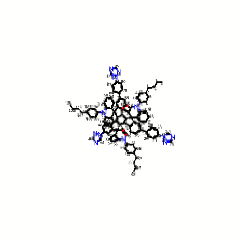 CCCCc1ccc(N2c3ccccc3C3(c4cc(-c5ccc(-n6cncn6)cc5)ccc4-c4c3c3c(c5c4C4(c6cc(-n7cncn7)ccc6-5)c5ccccc5N(c5ccc(CCCC)cc5)c5ccccc54)C4(c5cc(-c6ccc(-n7cncn7)cc6)ccc5-3)c3ccccc3N(c3ccc(CCCC)cc3)c3ccccc34)c3ccccc32)cc1